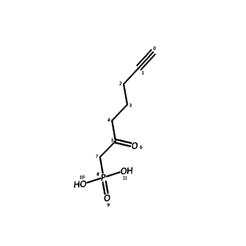 C#CCCCC(=O)CP(=O)(O)O